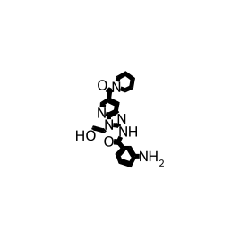 Nc1cccc(C(=O)Nc2nc3cc(C(=O)N4CCCCC4)cnc3n2CCO)c1